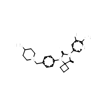 N#Cc1ncc(N2C(=O)C3(CCC3)N(c3ccc(CN4CCC(N)CC4)cc3)C2=S)cc1C(F)(F)F